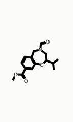 COC(=O)c1ccc2c(c1)OC(C(C)C)CN(C=O)C2